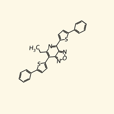 CCc1nc(-c2ccc(-c3ccccc3)s2)c2nonc2c1-c1ccc(-c2ccccc2)s1